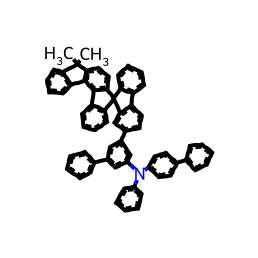 CC1(C)c2ccccc2-c2c1ccc1c2-c2ccccc2C12c1ccccc1-c1ccc(-c3cc(-c4ccccc4)cc(N(c4ccccc4)c4ccc(-c5ccccc5)cc4)c3)cc12